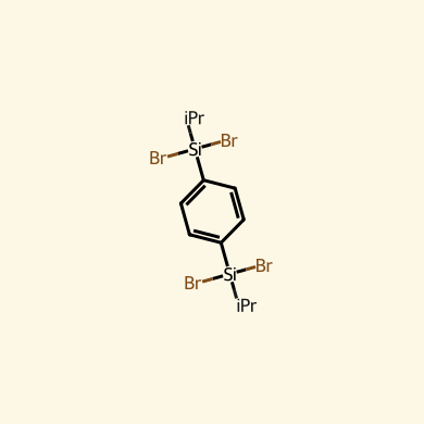 CC(C)[Si](Br)(Br)c1ccc([Si](Br)(Br)C(C)C)cc1